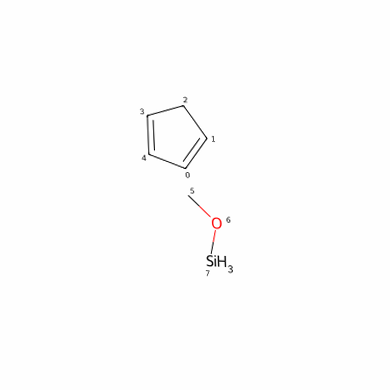 C1=CCC=C1.CO[SiH3]